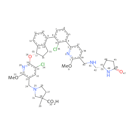 COc1nc(-c2cccc(-c3cccc4c3CC[C@@H]4Oc3nc(OC)c(CN4CCC(C)(C(=O)O)C4)cc3Cl)c2Cl)ccc1CNC[C@@H]1CCC(=O)N1